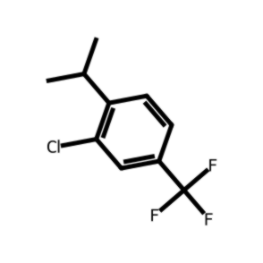 CC(C)c1ccc(C(F)(F)F)cc1Cl